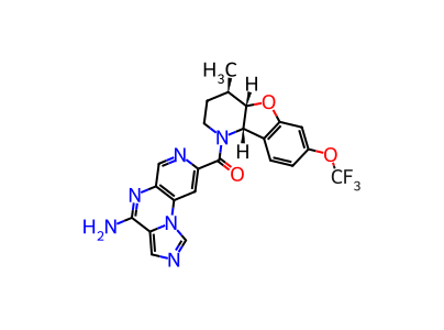 C[C@@H]1CCN(C(=O)c2cc3c(cn2)nc(N)c2cncn23)[C@H]2c3ccc(OC(F)(F)F)cc3O[C@@H]12